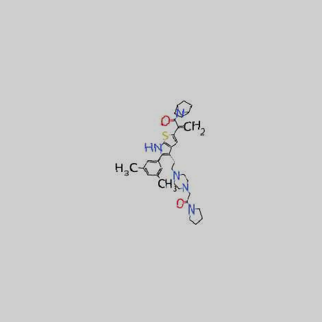 C=C(C(=O)N1C2CCC1CC2)c1cc2c(CCN3CCN(CC(=O)N4CCCC4)CC3)c(-c3cc(C)cc(C)c3)[nH]c2s1